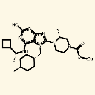 C[C@@H]1CN(C(=O)OC(C)(C)C)CCN1c1nc2nc(C#N)nc(N[C@H](C)C3CCC3)c2n1C[C@H]1CC[C@H](C)CC1